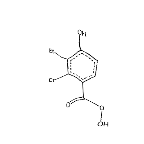 CCc1c(O)ccc(C(=O)OO)c1CC